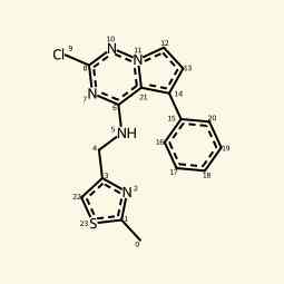 Cc1nc(CNc2nc(Cl)nn3ccc(-c4ccccc4)c23)cs1